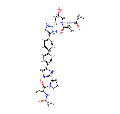 COC(=O)NC(C(=O)N1CCC[C@H]1c1ncc(-c2ccc(-c3ccc(-c4cnc([C@@H]5C[C@@H](O)CN5C(=O)[C@@H](NC(=O)OC)C(C)C)[nH]4)cc3)cc2)[nH]1)C(C)C